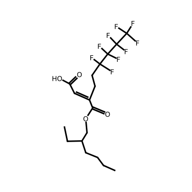 CCCCC(CC)COC(=O)C(=CC(=O)O)CCC(F)(F)C(F)(F)C(F)(F)C(F)(F)F